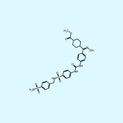 COC(=O)N1CCN(C(=NO)c2ccc(NC(=O)Nc3ccc(S(=O)(=O)NCc4ccc(S(N)(=O)=O)cc4)cc3)cc2)CC1